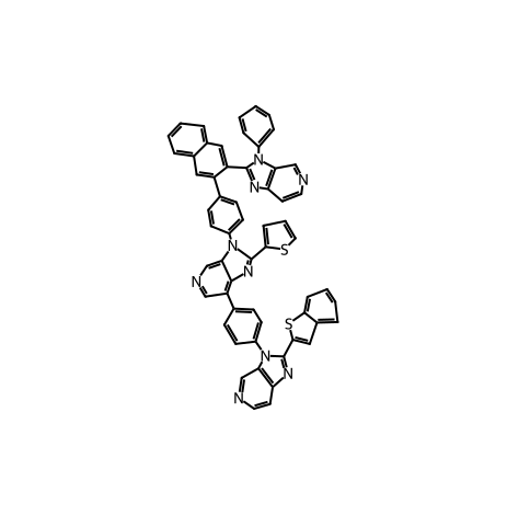 c1ccc(-n2c(-c3cc4ccccc4cc3-c3ccc(-n4c(-c5cccs5)nc5c(-c6ccc(-n7c(-c8cc9ccccc9s8)nc8ccncc87)cc6)cncc54)cc3)nc3ccncc32)cc1